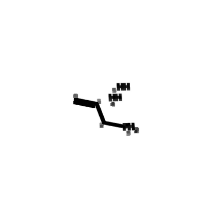 C=CCP.[HH].[HH]